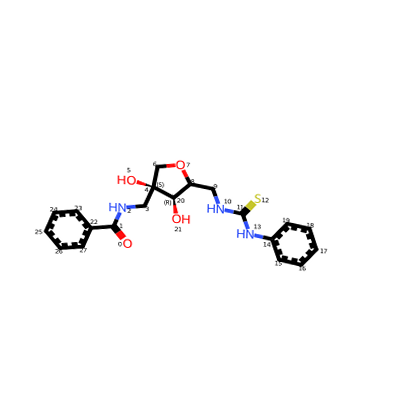 O=C(NC[C@]1(O)COC(CNC(=S)Nc2ccccc2)[C@H]1O)c1ccccc1